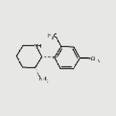 Cc1ccc([C@H]2NCCC[C@H]2N)c(C)c1